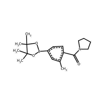 Cc1cc(B2OC(C)(C)C(C)(C)O2)ccc1C(=O)N1CCCC1